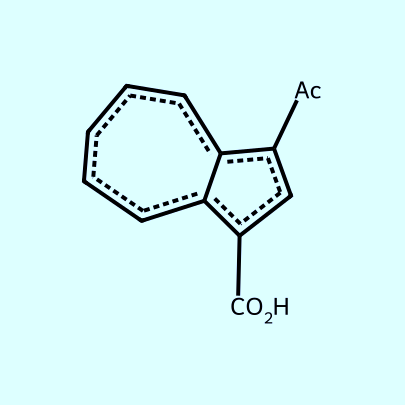 CC(=O)c1cc(C(=O)O)c2cccccc1-2